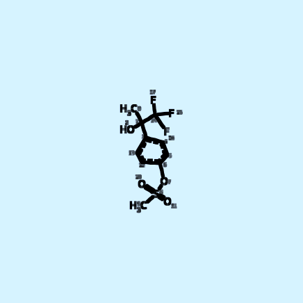 CC(O)(c1ccc(OS(C)(=O)=O)cc1)C(F)(F)F